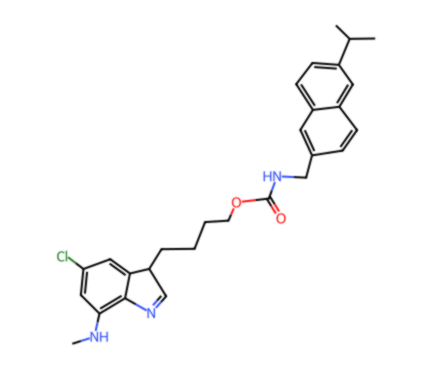 CNc1cc(Cl)cc2c1N=CC2CCCCOC(=O)NCc1ccc2cc(C(C)C)ccc2c1